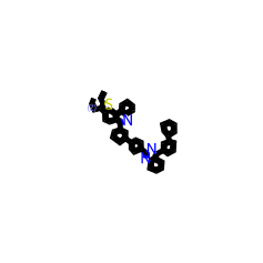 C=Cc1sc2c(ccc3c(-c4cccc(-c5ccc(-c6nc(-c7cccc(-c8ccccc8)c7)c7ccccc7n6)cc5)c4)nc4ccccc4c32)c1/C=C\C